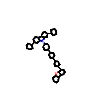 c1ccc(-c2ccc3c4ccc(-c5ccccc5)cc4n(-c4ccc(-c5ccc(-c6ccc(-c7cccc8c7oc7ccccc78)cc6)cc5)cc4)c3c2)cc1